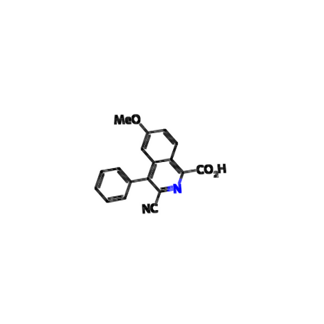 COc1ccc2c(C(=O)O)nc(C#N)c(-c3ccccc3)c2c1